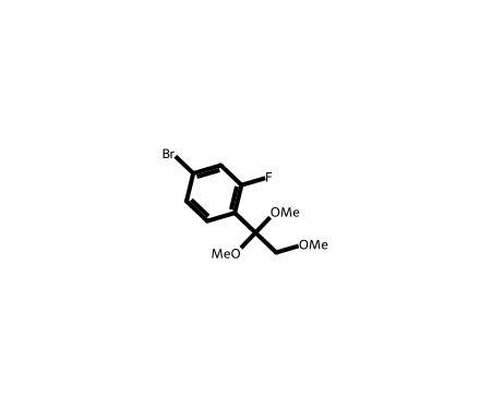 COCC(OC)(OC)c1ccc(Br)cc1F